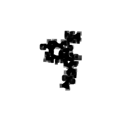 CC(C)(C)C[C@]1(c2ccc(-c3cnn(S(=O)(=O)C4CC4)c3)c(F)c2)N/C2=N\C(F)c3ncnn3-c3cc(ccc3Cl)[C@@H](COC(=O)NC3(C(F)(F)F)CC3)N2C1=O